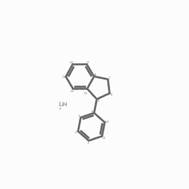 [LiH].c1ccc(C2CCc3ccccc32)cc1